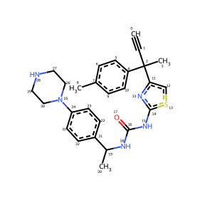 C#CC(C)(c1ccc(C)cc1)c1csc(NC(=O)NC(C)c2ccc(N3CCNCC3)cc2)n1